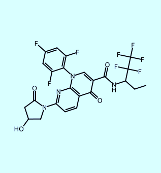 CCC(NC(=O)c1cn(-c2c(F)cc(F)cc2F)c2nc(N3CC(O)CC3=O)ccc2c1=O)C(F)(F)C(F)(F)F